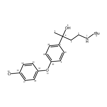 CC(C)(C)NCCC(C)(O)c1ccc(Oc2ccc(Cl)cc2)cc1